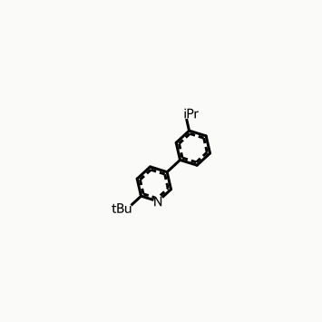 CC(C)c1cccc(-c2ccc(C(C)(C)C)nc2)c1